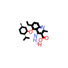 CCc1ccc2nc(C)c(C(=O)O)c(N)c2c1O[C@@H]1C[C@H](C)CC[C@H]1C(C)C